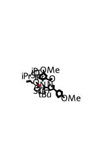 C=CCOC(=O)N1c2cc(O[Si](C(C)C)(C(C)C)C(C)C)c(OC)cc2C(=O)N2C=C(c3ccc(OC)cc3)C[C@H]2C1O[Si](C)(C)C(C)(C)C